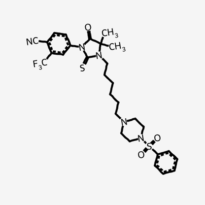 CC1(C)C(=O)N(c2ccc(C#N)c(C(F)(F)F)c2)C(=S)N1CCCCCCN1CCN(S(=O)(=O)c2ccccc2)CC1